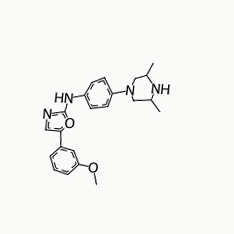 COc1cccc(-c2cnc(Nc3ccc(N4CC(C)NC(C)C4)cc3)o2)c1